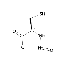 O=NN[C@H](CS)C(=O)O